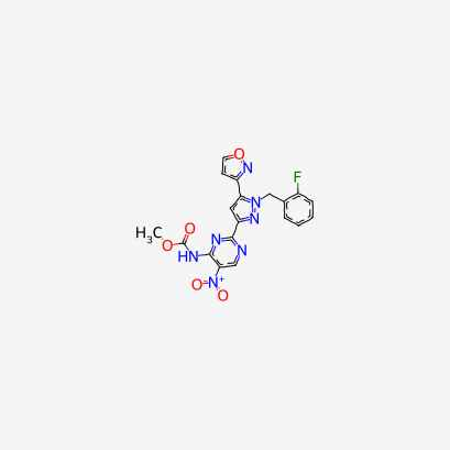 COC(=O)Nc1nc(-c2cc(-c3ccon3)n(Cc3ccccc3F)n2)ncc1[N+](=O)[O-]